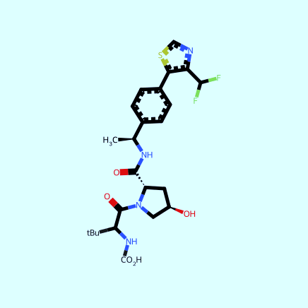 C[C@H](NC(=O)[C@@H]1C[C@@H](O)CN1C(=O)C(NC(=O)O)C(C)(C)C)c1ccc(-c2scnc2C(F)F)cc1